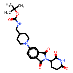 CC(C)(C)OC(=O)NCC1CCN(c2ccc3c(c2)C(=O)N(C2CCC(=O)NC2=O)C3=O)CC1